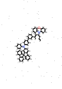 C=C/C=c1\c(=C(/C)c2cccc(-c3ccc(N(c4ccccc4)c4ccc5c(c4)C(c4ccccc4)(c4ccccc4)c4ccccc4-5)cc3)c2)c2cccc3c2n1-c1ccccc1O3